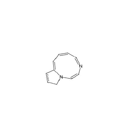 C1=Cc2ccccnccn2C1